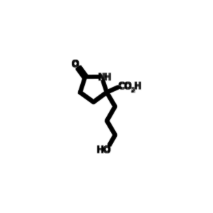 O=C1CCC(CCCO)(C(=O)O)N1